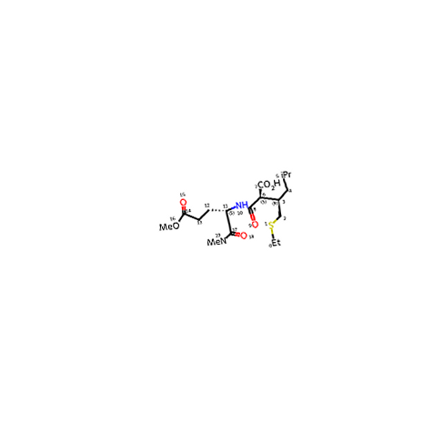 CCSC[C@H](CC(C)C)[C@H](C(=O)O)C(=O)N[C@@H](CCC(=O)OC)C(=O)NC